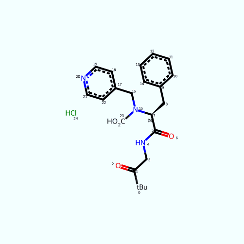 CC(C)(C)C(=O)CNC(=O)[C@H](Cc1ccccc1)N(Cc1ccncc1)C(=O)O.Cl